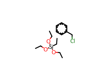 CCO[Si](CC)(OCC)OCC.ClCc1ccccc1